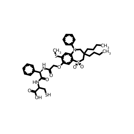 CCCCC1(CCCC)CN(c2ccccc2)c2cc(SC)c(OCC(=O)N[C@@H](C(=O)NC(CS)C(=O)O)c3ccccc3)cc2S(=O)(=O)C1